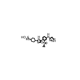 Cc1cc(Nc2ccc(-c3cnc(C4CCC(NC(=O)O)CC4)[nH]3)c(S(=O)(=O)C3CC3)c2)n[nH]1